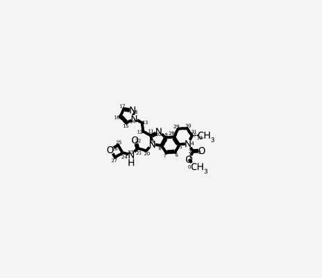 COC(=O)N1c2ccc3c(nc(CCn4cccn4)n3CC(=O)NC3COC3)c2CC[C@@H]1C